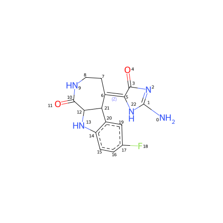 NC1=NC(=O)/C(=C2\CCNC(=O)C3Nc4ccc(F)cc4C23)N1